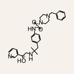 CC(C)(Cc1ccc(NS(=O)(=O)N2CCN(Cc3ccccc3)CC2)cc1)NC[C@@H](O)c1cccnc1